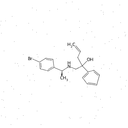 C=CCC(O)(CN[C@@H](C)c1ccc(Br)cc1)c1ccccc1